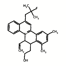 C=CC1C(CCO)c2c(C)cc(C)cc2-c2cc(CC(C)(C)F)c3ccccc3[n+]21